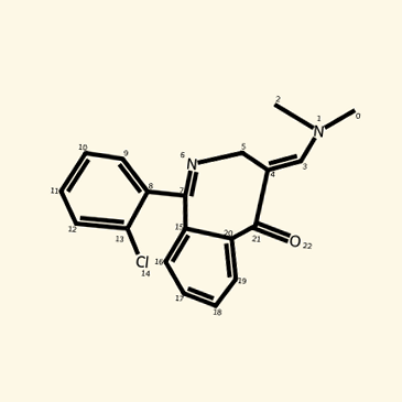 CN(C)/C=C1\CN=C(c2ccccc2Cl)c2ccccc2C1=O